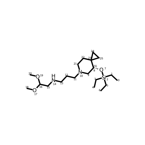 CC[Si](CC)(CC)O[C@@H]1CN(CCCNCC(OC)OC)CCC12CC2